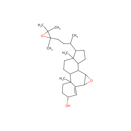 CC(CCC1(C)OC1(C)C)C1CCC2C3C4OC4C4=CC(O)CCC4(C)C3CCC12C